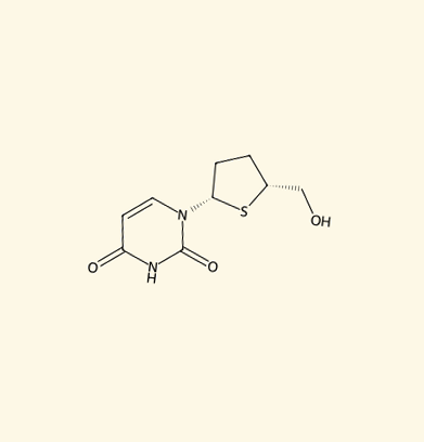 O=c1ccn([C@@H]2CC[C@H](CO)S2)c(=O)[nH]1